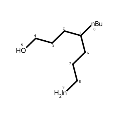 CCCCC(CCCO)CC[CH2][InH2]